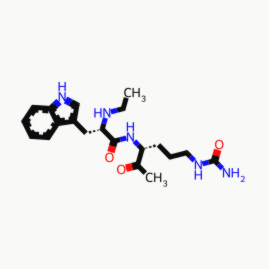 CCN[C@@H](Cc1c[nH]c2ccccc12)C(=O)N[C@H](CCCNC(N)=O)C(C)=O